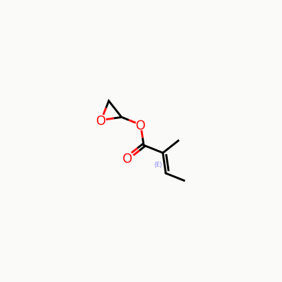 C/C=C(\C)C(=O)OC1CO1